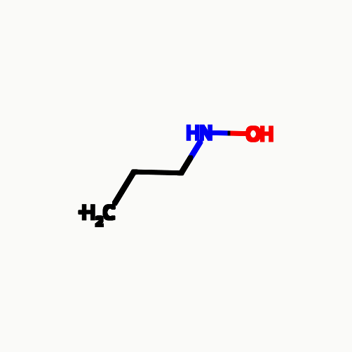 [CH2]CCNO